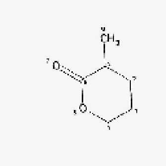 CC1CCCOC1=O